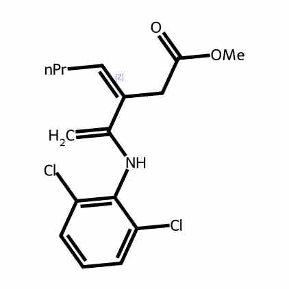 C=C(Nc1c(Cl)cccc1Cl)/C(=C\CCC)CC(=O)OC